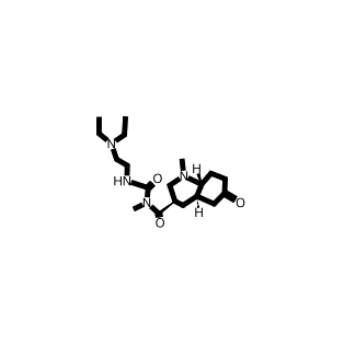 CCN(CC)CCNC(=O)N(C)C(=O)[C@@H]1C[C@@H]2CC(=O)CC[C@H]2N(C)C1